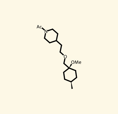 CO[C@]1(COCCC2CCN(C(C)=O)CC2)CC[C@H](C)CC1